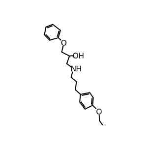 [CH2]COc1ccc(CCCNCC(O)COc2ccccc2)cc1